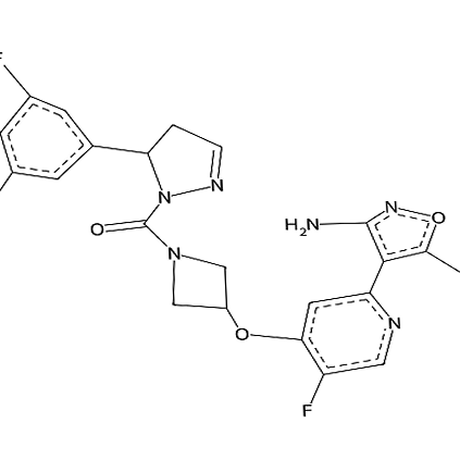 Cc1onc(N)c1-c1cc(OC2CN(C(=O)N3N=CCC3c3cc(F)cc(F)c3)C2)c(F)cn1